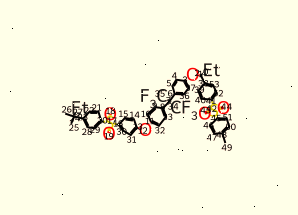 CCC(Oc1ccc(C(c2ccc(Oc3ccc(S(=O)(=O)c4ccc(C(C)(C)CC)cc4)cc3)cc2)(C(F)(F)F)C(F)(F)F)cc1)c1ccc(S(=O)(=O)c2ccc(C)cc2)cc1